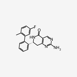 Cc1ccc(F)cc1-c1ccccc1[C@H]1Cc2nc(N)ncc2C(=O)N1